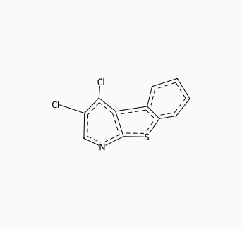 Clc1cnc2sc3ccccc3c2c1Cl